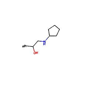 CCCC(O)CNC1CCCC1